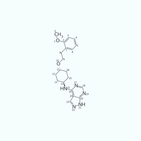 COc1ccccc1CCO[C@H]1CC[C@H](Nc2ncnc3[nH]ncc23)CC1